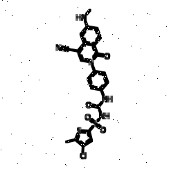 CNc1ccc2c(=O)n(-c3ccc(NC(=O)NS(=O)(=O)c4cc(Cl)c(C)s4)cc3)cc(C#N)c2c1